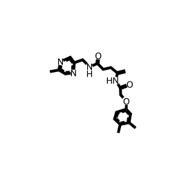 C=C(CCC(=O)NCc1cnc(C)cn1)NC(=O)COc1ccc(C)c(C)c1